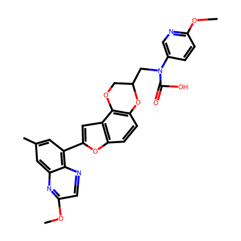 COc1ccc(N(CC2COc3c(ccc4oc(-c5cc(C)cc6nc(OC)cnc56)cc34)O2)C(=O)O)cn1